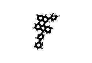 c1ccc(-c2ccc(-c3c4ccccc4c(-c4cc(-c5cccnc5)cc5ccccc45)c4ccccc34)cc2)nc1